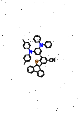 Cc1ccc(N(c2ccc(C)cc2)c2cc(-c3cc(C#N)cc4c3sc3c5ccccc5c5ccccc5c43)cc(N(c3ccccc3)c3ccccc3)c2)cc1